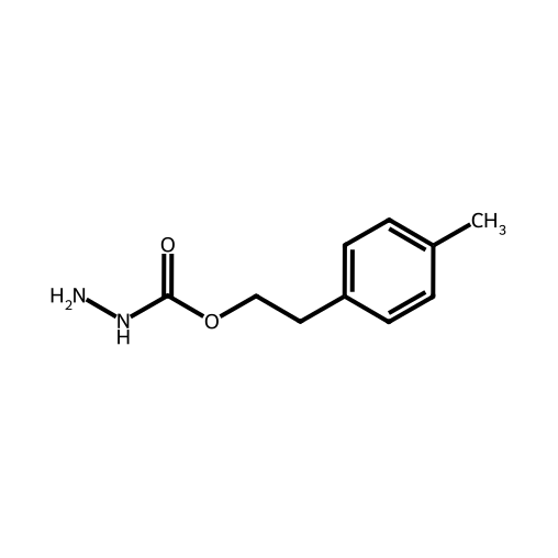 Cc1ccc(CCOC(=O)NN)cc1